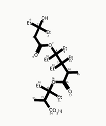 CCC(O)(CC)CC(=O)OC(CC)(CC)C(CC)(CC)C(C)C(=O)OC(CC)(CC)C(C)C(=O)O